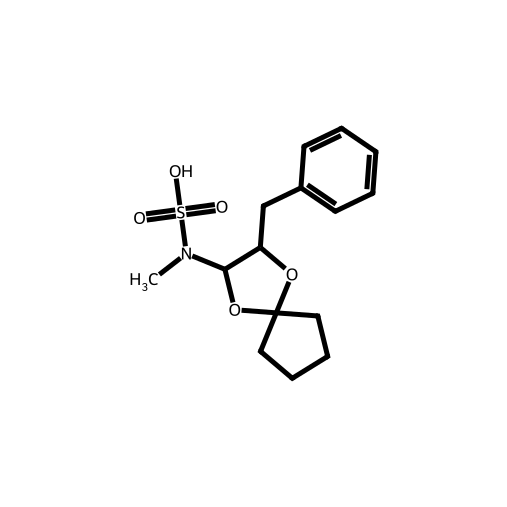 CN(C1OC2(CCCC2)OC1Cc1ccccc1)S(=O)(=O)O